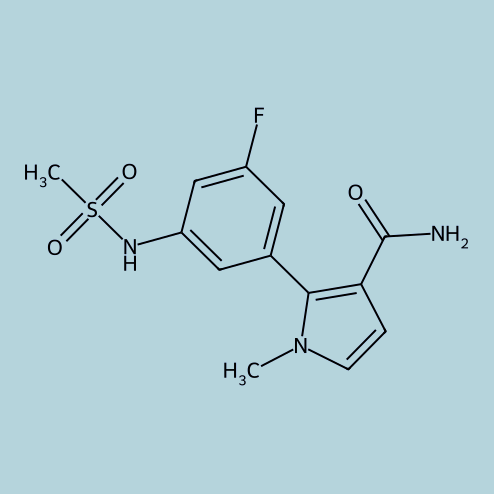 Cn1ccc(C(N)=O)c1-c1cc(F)cc(NS(C)(=O)=O)c1